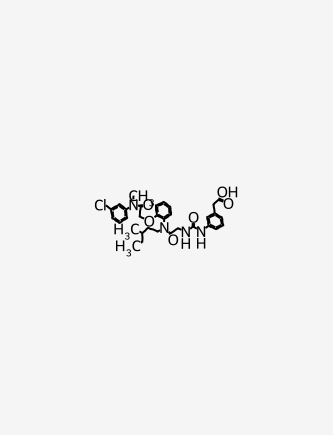 CCC(C)CCN(C(=O)CNC(=O)Nc1cccc(CC(=O)O)c1)c1ccccc1OCC(=O)N(C)c1cccc(Cl)c1